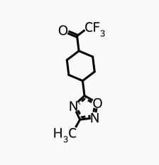 Cc1noc(C2CCC(C(=O)C(F)(F)F)CC2)n1